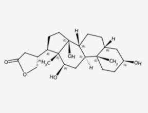 C[C@]12CC[C@H](O)C[C@H]1CC[C@@H]1[C@@H]2C[C@@H](O)[C@]2(C)[C@@H]([C@@H]3COC(=O)C3)CC[C@]12O